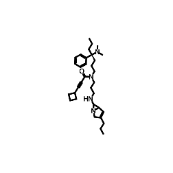 CCCC1=CC2C(NCCCN(CCC[C@](CCC)(c3ccccc3)N(C)C)C(=O)C#CC3CCC3)N2C1